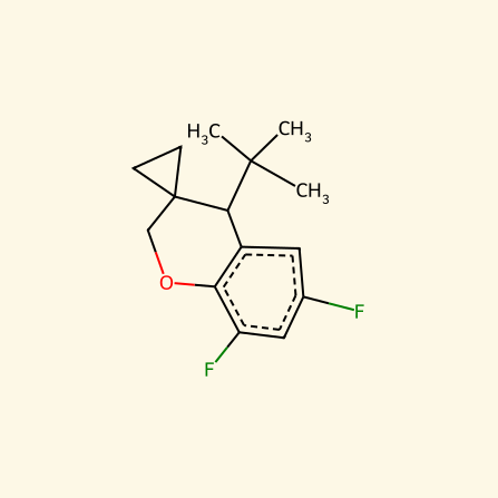 CC(C)(C)C1c2cc(F)cc(F)c2OCC12CC2